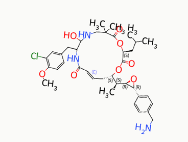 COc1ccc(CC2NC(=O)/C=C/C[C@@H]([C@H](C)[C@H]3O[C@@H]3c3ccc(CN)cc3)OC(=O)[C@H](CC(C)C)OC(=O)C(C)(C)CNC2O)cc1Cl